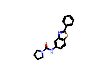 O=C(Nc1ccc2sc(-c3ccccc3)nc2c1)N1CCCC1